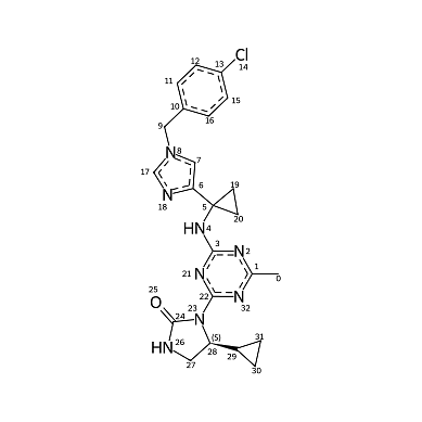 Cc1nc(NC2(c3cn(Cc4ccc(Cl)cc4)cn3)CC2)nc(N2C(=O)NC[C@@H]2C2CC2)n1